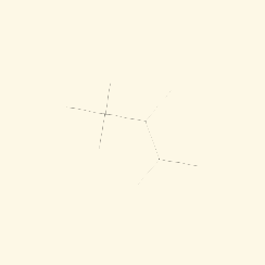 CCC(C)C(C)C(C)(F)F